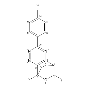 CC1OC2(C)CCC1c1nc(-c3ccc(F)cc3)nnc12